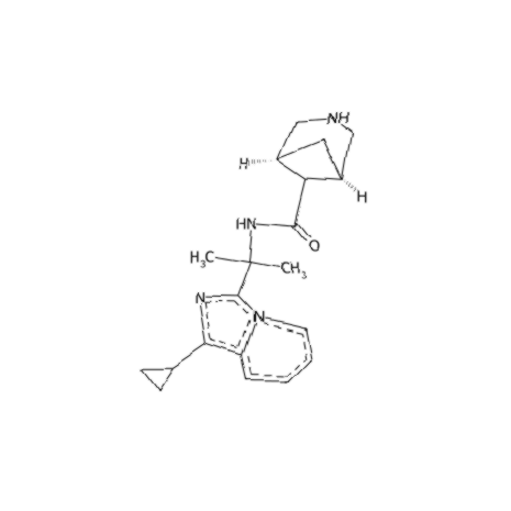 CC(C)(NC(=O)C1[C@@H]2CNC[C@H]1C2)c1nc(C2CC2)c2ccccn12